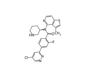 Cc1csc2ccnc(N(C(=O)c3ccc(-c4cc(Cl)cnn4)cc3F)[C@@H]3CCCNC3)c12